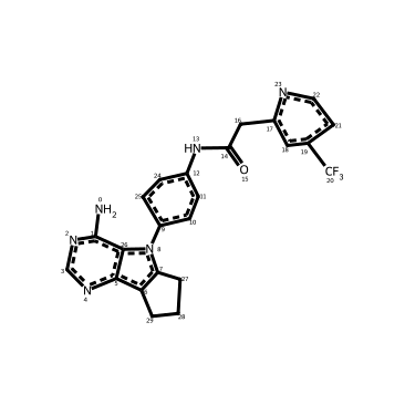 Nc1ncnc2c3c(n(-c4ccc(NC(=O)Cc5cc(C(F)(F)F)ccn5)cc4)c12)CCC3